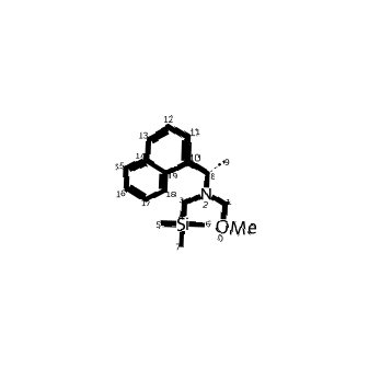 COCN(C[Si](C)(C)C)[C@@H](C)c1cccc2ccccc12